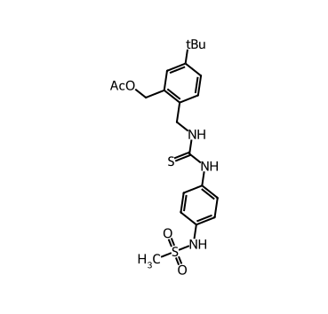 CC(=O)OCc1cc(C(C)(C)C)ccc1CNC(=S)Nc1ccc(NS(C)(=O)=O)cc1